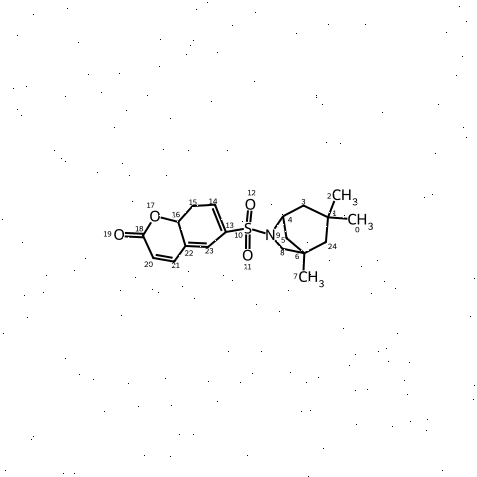 CC1(C)CC2CC(C)(CN2S(=O)(=O)C2=CCC3OC(=O)C=CC3=C2)C1